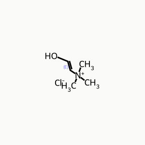 C[N+](C)(C)/C=C/O.[Cl-]